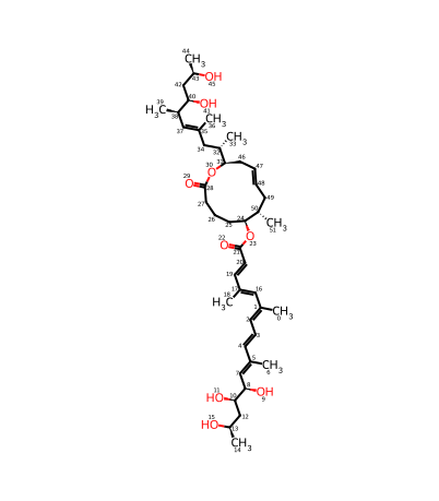 CC(=C/C=C/C(C)=C/[C@@H](O)[C@H](O)C[C@@H](C)O)C=C(C)/C=C/C(=O)O[C@H]1CCCC(=O)O[C@@H]([C@@H](C)C/C(C)=C/[C@@H](C)[C@H](O)C[C@@H](C)O)C/C=C/C[C@@H]1C